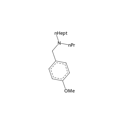 CCCCCCCN(CCC)Cc1ccc(OC)cc1